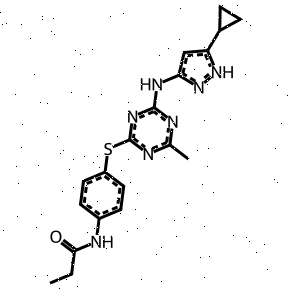 CCC(=O)Nc1ccc(Sc2nc(C)nc(Nc3cc(C4CC4)[nH]n3)n2)cc1